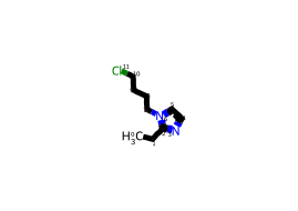 CCc1nccn1CCCCCl